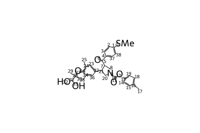 CSc1ccc(C(=O)C2CN(C(=O)Oc3ccc(C)cc3)CC2c2cc(C)c(OC(C)(C)C(O)O)c(C)c2)cc1